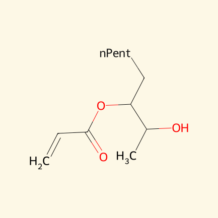 C=CC(=O)OC(CCCCCC)C(C)O